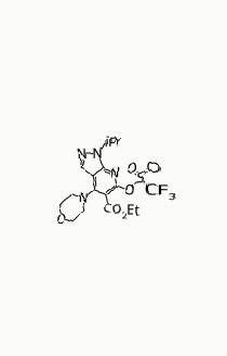 CCOC(=O)c1c(OS(=O)(=O)C(F)(F)F)nc2c(cnn2C(C)C)c1N1CCOCC1